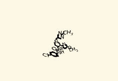 COc1ccc(C2CN(Cc3cnc(C)nc3)CCC2NC(=O)Nc2ccc(Cl)cc2)nc1